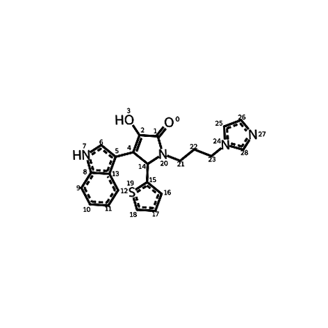 O=C1C(O)=C(c2c[nH]c3ccccc23)C(c2cccs2)N1CCCn1ccnc1